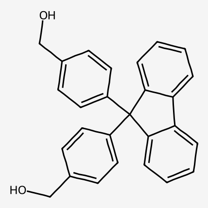 OCc1ccc(C2(c3ccc(CO)cc3)c3ccccc3-c3ccccc32)cc1